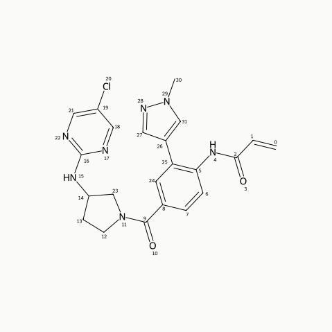 C=CC(=O)Nc1ccc(C(=O)N2CCC(Nc3ncc(Cl)cn3)C2)cc1-c1cnn(C)c1